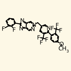 COc1ccc(-c2ncc(Cn3cc4nc(-c5cccc(F)c5F)nc-4cn3)cc2C(F)(F)F)c(C(F)(F)F)c1